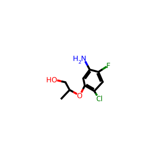 CC(CO)Oc1cc(N)c(F)cc1Cl